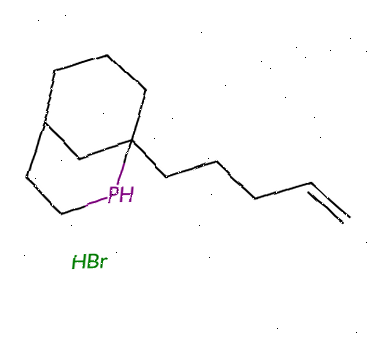 Br.C=CCCCC12CCCC(CCP1)C2